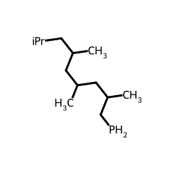 CC(C)CC(C)CC(C)CC(C)CP